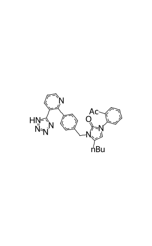 CCCCc1cn(-c2ccccc2C(C)=O)c(=O)n1Cc1ccc(-c2ncccc2-c2nnn[nH]2)cc1